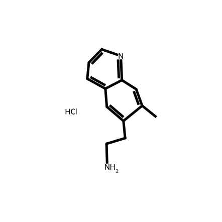 Cc1cc2ncccc2cc1CCN.Cl